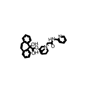 O=C(C[N+]12CCC(CC1)[C@@H](OC(=O)C1(O)c3ccccc3C=Cc3ccccc31)C2)Nc1ccccn1